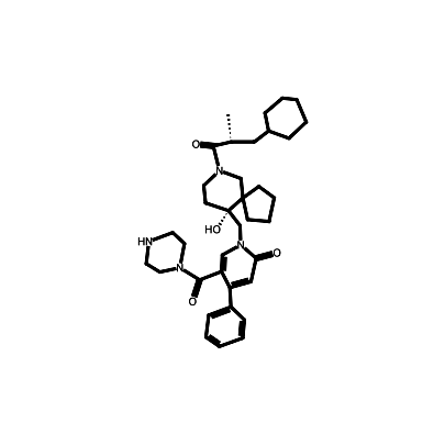 C[C@H](CC1CCCCC1)C(=O)N1CC[C@](O)(Cn2cc(C(=O)N3CCNCC3)c(-c3ccccc3)cc2=O)C2(CCCC2)C1